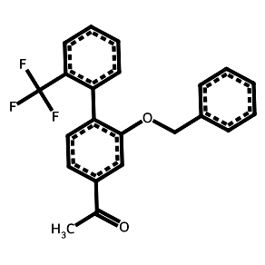 CC(=O)c1ccc(-c2ccccc2C(F)(F)F)c(OCc2ccccc2)c1